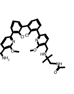 COc1nc(-c2cccc(-c3cccc(-c4ccc(C(C)N)c(OC)n4)c3Cl)c2Cl)ccc1CNC(C)(C)CNC(C)=O